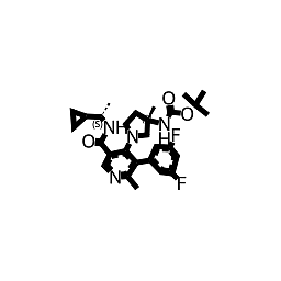 Cc1ncc(C(=O)N[C@@H](C)C2CC2)c(N2CC[C@](C)(NC(=O)OC(C)(C)C)C2)c1-c1cc(F)cc(F)c1